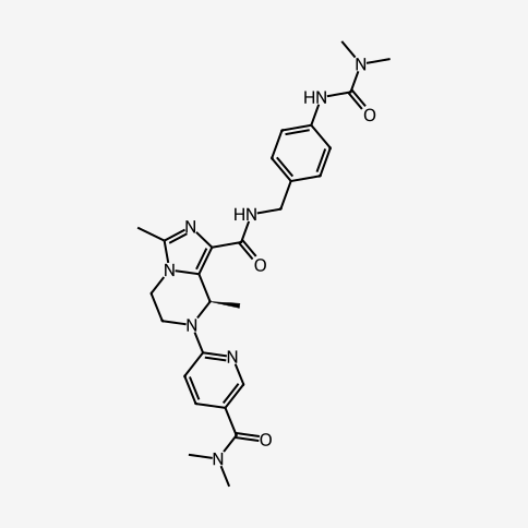 Cc1nc(C(=O)NCc2ccc(NC(=O)N(C)C)cc2)c2n1CCN(c1ccc(C(=O)N(C)C)cn1)[C@@H]2C